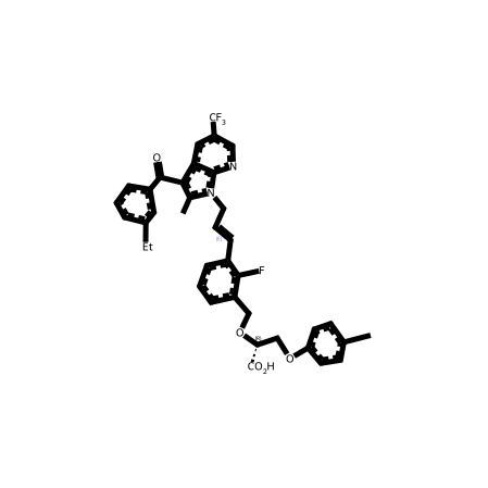 CCc1cccc(C(=O)c2c(C)n(C/C=C/c3cccc(CO[C@H](COc4ccc(C)cc4)C(=O)O)c3F)c3ncc(C(F)(F)F)cc23)c1